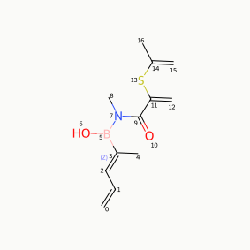 C=C/C=C(\C)B(O)N(C)C(=O)C(=C)SC(=C)C